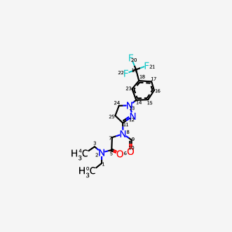 CCN(CC)C(=O)CN(C=O)C1=NN(c2cccc(C(F)(F)F)c2)CC1